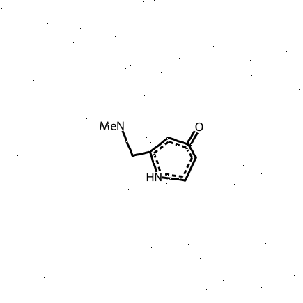 CNCc1cc(=O)cc[nH]1